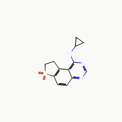 O=S1(=O)CCc2c1ccc1ncnc(NC3CC3)c21